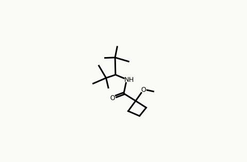 COC1(C(=O)NC(C(C)(C)C)C(C)(C)C)CCC1